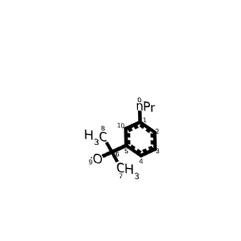 CCCc1cccc(C(C)(C)[O])c1